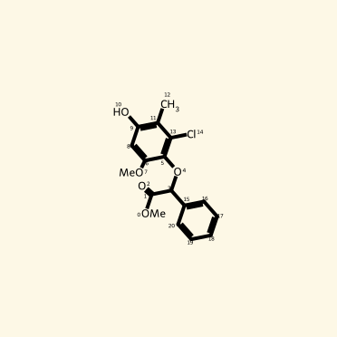 COC(=O)C(Oc1c(OC)cc(O)c(C)c1Cl)c1ccccc1